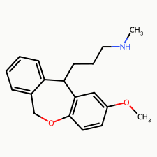 CNCCCC1c2ccccc2COc2ccc(OC)cc21